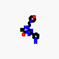 CCC(=O)n1nc(C2=CNCC=C2)nc1NCCN1CCOCC1